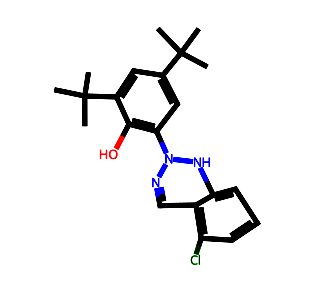 CC(C)(C)c1cc(N2N=Cc3c(Cl)cccc3N2)c(O)c(C(C)(C)C)c1